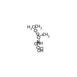 C=CCc1cc(/C=N/NC(=O)c2ccc(O)c(Cl)c2)ccc1OCc1ccc(C(C)C)cc1